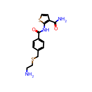 NCCSCc1ccc(C(=O)Nc2sccc2C(N)=O)cc1